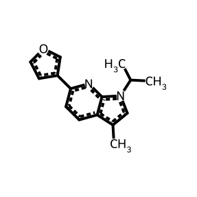 Cc1cn(C(C)C)c2nc(-c3ccoc3)ccc12